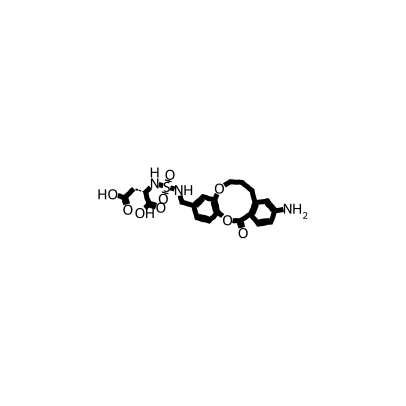 Nc1ccc2c(c1)CCCOc1cc(CNS(=O)(=O)N[C@@H](CC(=O)O)C(=O)O)ccc1OC2=O